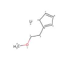 COCCC1=CC=CC1.[Li]